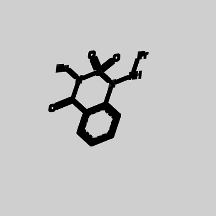 CCC(C)N1C(=O)c2ccccc2N(NC(C)C)S1(=O)=O